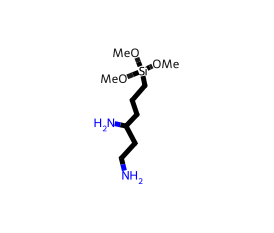 CO[Si](CCCC(N)CCN)(OC)OC